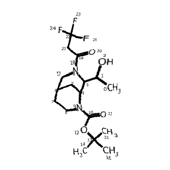 CC(O)C1C2CC(CCN2C(=O)OC(C)(C)C)CN1C(=O)CC(F)(F)F